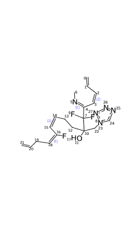 C=C/C=C\C(=N/C)C(F)(F)C(O)(CC/C=C\C(F)=C/CC=C)Cn1cnnn1